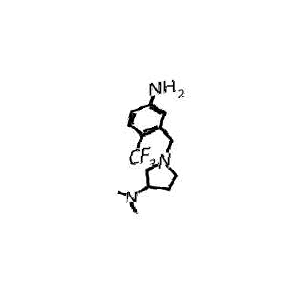 CN(C)C1CCN(Cc2cc(N)ccc2C(F)(F)F)C1